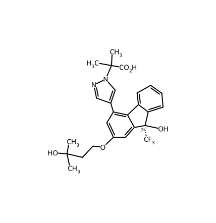 CC(C)(O)CCOc1cc(-c2cnn(C(C)(C)C(=O)O)c2)c2c(c1)[C@@](O)(C(F)(F)F)c1ccccc1-2